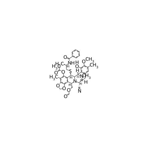 COc1c(C)cc2c(c1O)[C@H]1C3[C@H](SC[C@@H](C)NC(=O)c4ccccc4)c4c(OC(C)=O)c(C)c5c(c4[C@H](COC=O)N3[C@@H](C#N)[C@H](C2)N1C)OCO5